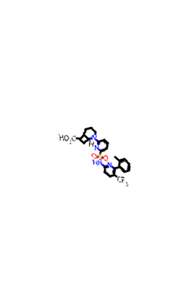 Cc1ccccc1-c1nc(NS(=O)(=O)c2cccc(N3CCCC4C(C(=O)O)C[C@@H]43)n2)ccc1C(F)(F)F